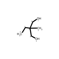 [CH2]CC(C)(CO)CO